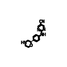 N#Cc1cnc(Nc2ccc([C@H]3CNCCO3)cc2)nc1